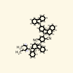 C=C/C=C(\C=C/C)n1c2ccccc2c2c3c4ccccc4n(-c4cc(C#N)c(-n5c6ccc(-n7c8ccccc8c8ccccc87)cc6c6c7ccccc7ccc65)cc4C#N)c3ccc21